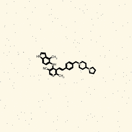 Cc1ncc(C#N)c(Nc2ccc3[nH]ccc3c2C)c1/C=C/c1ccc(CN2CCC(N3CCCC3)CC2)cc1